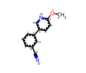 COc1ccc(-c2cccc(C#N)c2)cn1